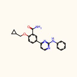 NC(=O)c1cc(-c2ccnc(Nc3ccccc3)n2)ccc1OCC1CC1